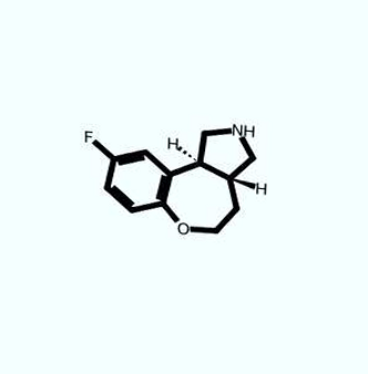 Fc1ccc2c(c1)[C@H]1CNC[C@@H]1CCO2